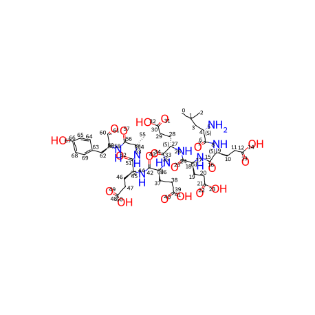 CC(C)C[C@H](N)C(=O)N[C@@H](CCC(=O)O)C(=O)N[C@@H](CCC(=O)O)C(=O)N[C@@H](CCC(=O)O)C(=O)N[C@@H](CCC(=O)O)C(=O)N[C@@H](CCC(=O)O)C(=O)N[C@@H](C)C(=O)N[C@H]([C]=O)Cc1ccc(O)cc1